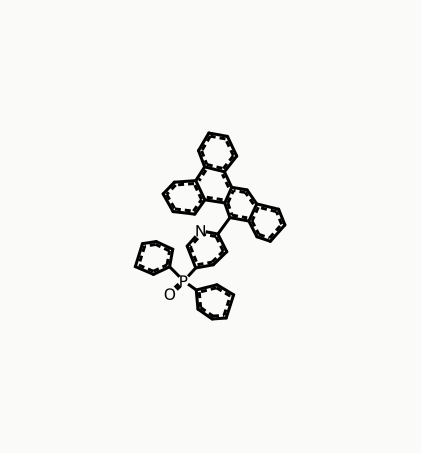 O=P(c1ccccc1)(c1ccccc1)c1ccc(-c2c3ccccc3cc3c4ccccc4c4ccccc4c23)nc1